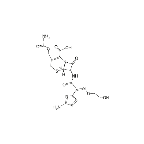 NC(=O)OCC1=C(C(=O)O)N2C(=O)C(NC(=O)C(=NOCCO)c3csc(N)n3)[C@@H]2SC1